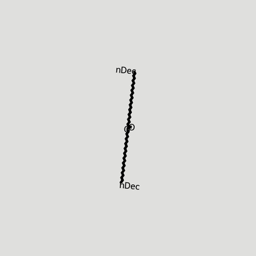 CCCCCCCCCCCCCCCCCCCCCCCCCCCCCCCCOC(=O)CCCCCCCCCCCCCCCCCCCCCCCCCCCCCCCC